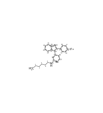 CCCCCCNc1cc(-c2c(-c3ccc(F)cc3)nn3ccccc23)ccn1